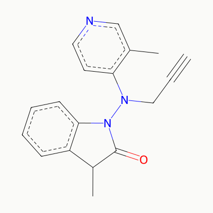 C#CCN(c1ccncc1C)N1C(=O)C(C)c2ccccc21